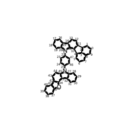 c1cc2c3c(cccc3c1)-c1c-2ccc2c3ccccc3n(-c3ccc(-n4c5ccccc5c5c6oc7ccccc7c6ccc54)cc3)c12